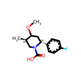 COC1C[C@H](c2ccc(F)cc2)N(C(=O)O)C[C@H]1C